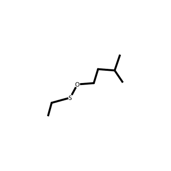 CCSOCCC(C)C